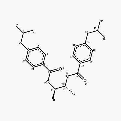 CC(C)Cc1ccc(C(=O)O[C@H](C)[C@@H](C)OC(=O)c2ccc(CC(C)C)cc2)cc1